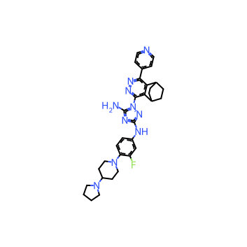 Nc1nc(Nc2ccc(N3CCC(N4CCCC4)CC3)c(F)c2)nn1-c1nnc(-c2ccncc2)c2c1C1CCC2CC1